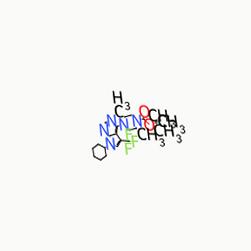 CC1CN(C(=O)OC(C)(C)C)[C@@H](C)CN1c1ncnc2c1c(C(F)(F)F)cn2C1CCCCC1